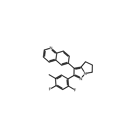 Cc1cc(-c2nn3c(c2-c2ccc4ncccc4c2)CCC3)c(F)cc1F